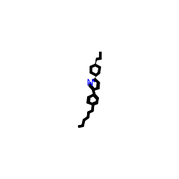 CCCCCCc1ccc(-c2ccc([C@H]3CC[C@H](CCC)CC3)nc2)cc1